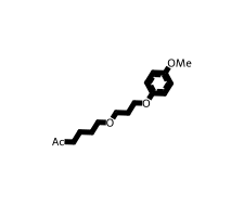 COc1ccc(OCCCOCCCCC(C)=O)cc1